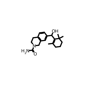 CC1=C(C(O)c2ccc3c(c2)CN(C(N)=O)CC3)C(C)(C)CCC1